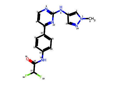 Cn1cc(Nc2nccc(-c3ccc(NC(=O)C(F)F)cc3)n2)cn1